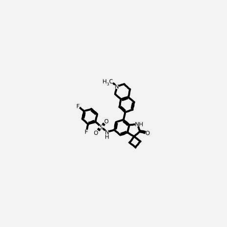 CN1CCc2ccc(-c3cc(NS(=O)(=O)c4ccc(F)cc4F)cc4c3NC(=O)C43CCC3)cc2C1